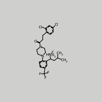 CNC(CC(C)C)c1cc(C(F)(F)F)ccc1N1CCN(C(=O)CCc2ccc(Cl)cc2Cl)CC1